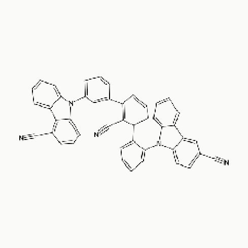 N#CC1=C(c2cccc(-n3c4ccccc4c4c(C#N)cccc43)c2)C=CCC1c1ccccc1-n1c2ccccc2c2cc(C#N)ccc21